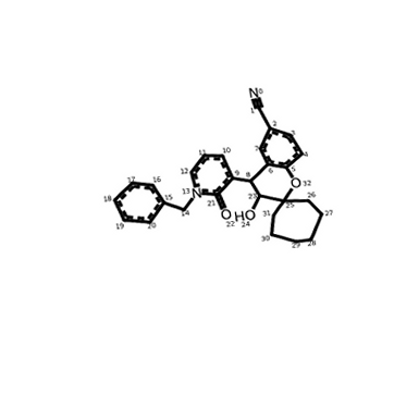 N#Cc1ccc2c(c1)C(c1cccn(Cc3ccccc3)c1=O)C(O)C1(CCCCCC1)O2